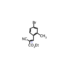 CCOC(=O)/C(C#N)=C/c1ccc(Br)cc1C